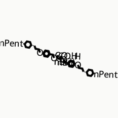 CCCCC[C@H]1CC[C@H](CCCOc2ccc(CO[C@@](CCCC)(C(=O)O)[C@@](CCCC)(OCc3ccc(OCCC[C@H]4CC[C@H](CCCCC)CC4)cc3)C(=O)O)cc2)CC1